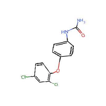 NC(=O)Nc1ccc(Oc2ccc(Cl)cc2Cl)cc1